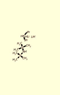 CC(C)NC(C)C.C[Si](C)(C)N[Si](C)(C)C.[LiH].[LiH]